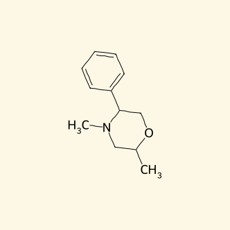 CC1CN(C)C(c2ccccc2)CO1